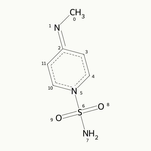 CN=c1ccn(S(N)(=O)=O)cc1